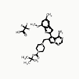 COc1cc(C)cc2cc(-c3c(CN4CCN(C(=O)OC(C)(C)C)CC4)cn4ncnc(N)c34)sc12.O=C(O)C(F)(F)F